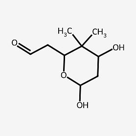 CC1(C)C(O)CC(O)OC1CC=O